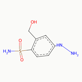 NNc1ccc(S(N)(=O)=O)c(CO)c1